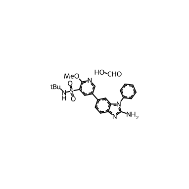 COc1ncc(-c2ccc3nc(N)n(-c4ccccc4)c3c2)cc1S(=O)(=O)NC(C)(C)C.O=CO